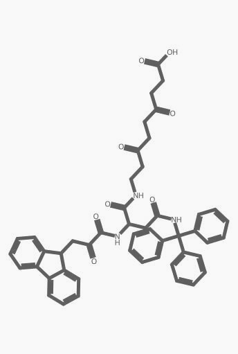 O=C(O)CCC(=O)CCC(=O)CCNC(=O)C(CC(=O)NC(c1ccccc1)(c1ccccc1)c1ccccc1)NC(=O)C(=O)CC1c2ccccc2-c2ccccc21